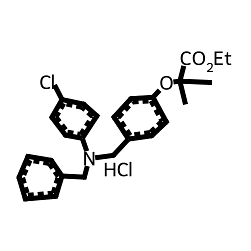 CCOC(=O)C(C)(C)Oc1ccc(CN(Cc2ccccc2)c2ccc(Cl)cc2)cc1.Cl